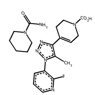 Cc1c(C2=CCN(C(=O)O)CC2)nnn1-c1cccnc1F.NC(=O)N1CCCCC1